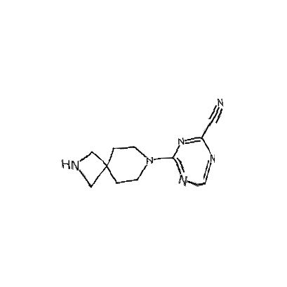 N#Cc1ncnc(N2CCC3(CC2)CNC3)n1